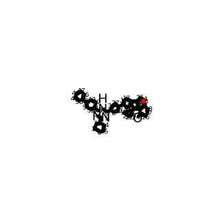 c1ccc(C2=NC(c3ccc(-c4ccc5c(c4)C4(c6ccccc6Oc6ccccc64)c4ncccc4-5)cc3)NC(c3ccc(-c4ccccc4)cc3)=N2)cc1